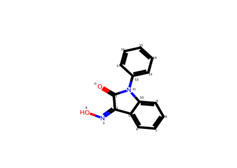 O=C1/C(=N\O)c2ccccc2N1c1ccccc1